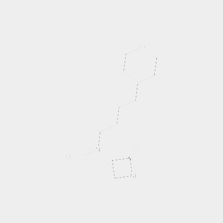 O=C1NC[C@@H]1N(CCCCC1CCOCC1)C(=O)O